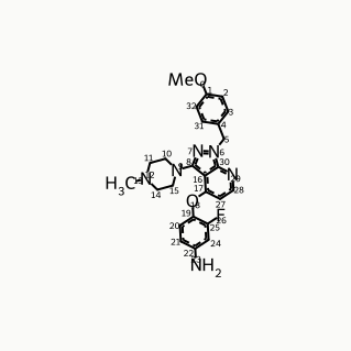 COc1ccc(Cn2nc(N3CCN(C)CC3)c3c(Oc4ccc(N)cc4F)ccnc32)cc1